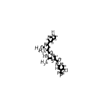 C=C/N=C(\C=C(/C)C(=O)NC(C)c1ncc(C(=O)Nc2cc(C(F)(F)F)c(Cl)cn2)s1)c1cnc2[nH]ccc2c1